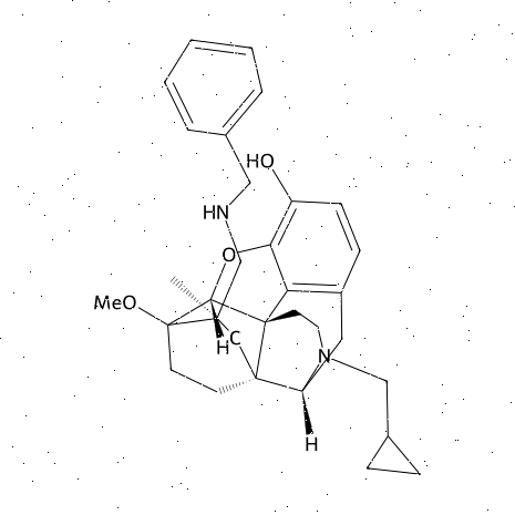 COC12CC[C@@]3(C[C@]1(C)CNCc1ccccc1)[C@H]1Cc4ccc(O)c5c4[C@@]3(CCN1CC1CC1)[C@H]2O5